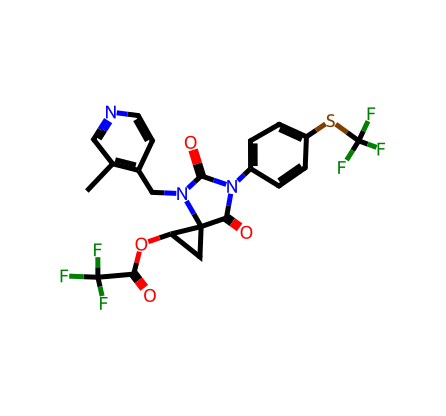 Cc1cnccc1CN1C(=O)N(c2ccc(SC(F)(F)F)cc2)C(=O)C12CC2OC(=O)C(F)(F)F